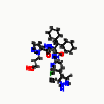 CCc1[nH]nc(C)c1-c1ccc(NC(=O)[C@@H](NC(=O)c2ccnn2CCCO)C(C2CCCCC2)C2CCCCC2)nc1F